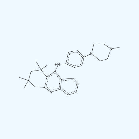 CN1CCN(c2ccc(Nc3c4c(nc5ccccc35)CC(C)(C)CC4(C)C)cc2)CC1